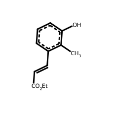 CCOC(=O)C=Cc1cccc(O)c1C